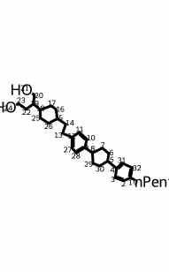 CCCCCc1ccc(C2CCC(c3ccc(CCC4CCC(C(CO)CCO)CC4)cc3)CC2)cc1